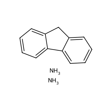 N.N.c1ccc2c(c1)Cc1ccccc1-2